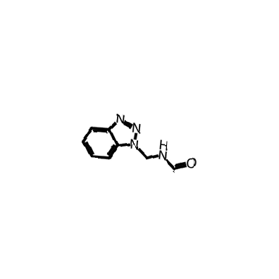 O=[C]NCn1nnc2ccccc21